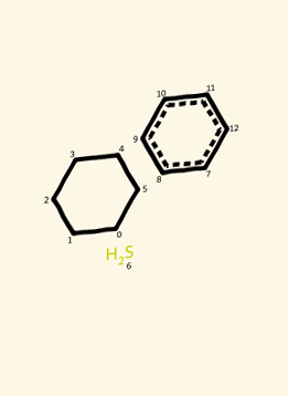 C1CCCCC1.S.c1ccccc1